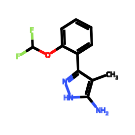 Cc1c(-c2ccccc2OC(F)F)n[nH]c1N